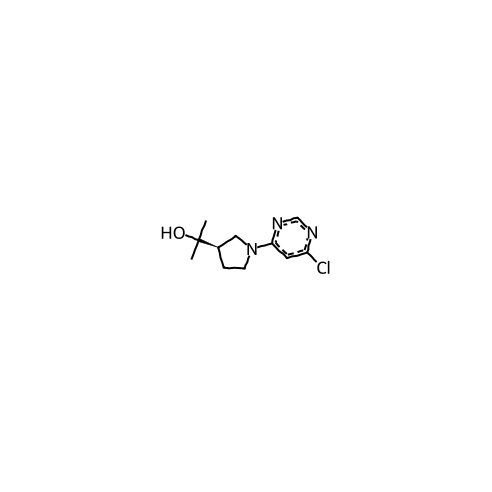 CC(C)(O)[C@@H]1CCN(c2cc(Cl)ncn2)C1